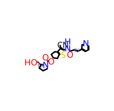 N#Cc1c(NC(=O)/C=C/c2cccnc2)sc2c1CCC(OC(=O)N1CCC[C@H]1CO)C2